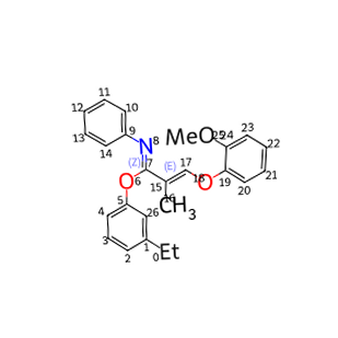 CCc1cccc(OC(=N\c2ccccc2)/C(C)=C/Oc2ccccc2OC)c1